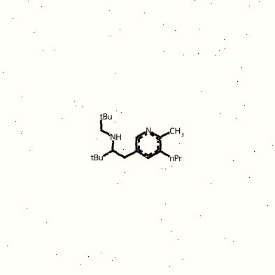 CCCc1cc(CC(NCC(C)(C)C)C(C)(C)C)cnc1C